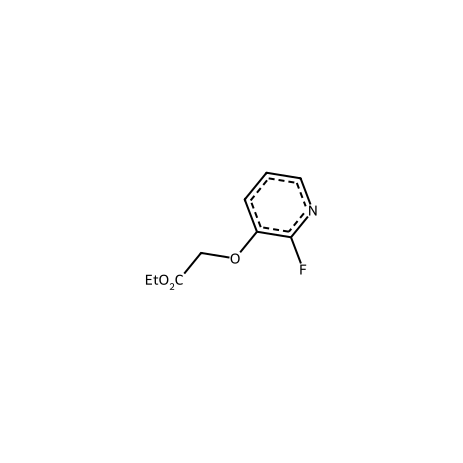 CCOC(=O)COc1cccnc1F